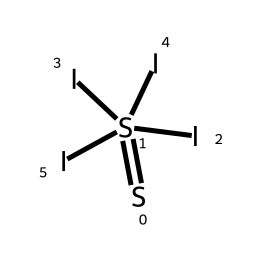 S=S(I)(I)(I)I